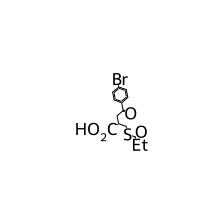 CCC(=O)SCC(CC(=O)c1ccc(Br)cc1)C(=O)O